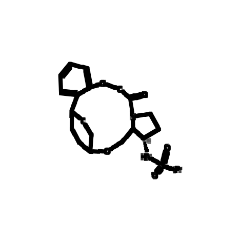 CC(C)S(=O)(=O)N[C@H]1CCN2C(=O)COc3ccccc3C3CCC(CC3)OCC12